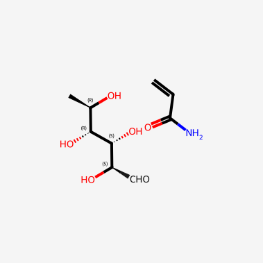 C=CC(N)=O.C[C@@H](O)[C@@H](O)[C@H](O)[C@H](O)C=O